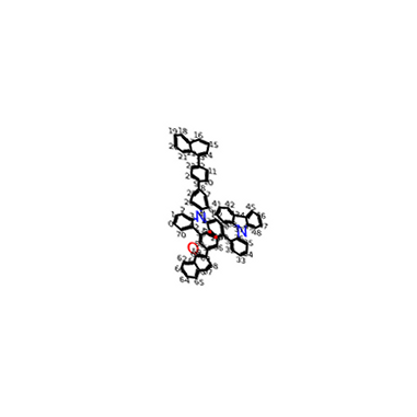 c1ccc(N(c2ccc(-c3ccc(-c4cccc5ccccc45)cc3)cc2)c2ccc(-c3ccccc3-n3c4ccccc4c4ccccc43)cc2)c(-c2cccc3c2oc2c4ccccc4ccc32)c1